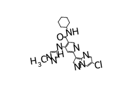 Cn1cc(Nc2cc(-c3cnn4cc(Cl)cnc34)ncc2C(=O)NC2CCCCC2)cn1